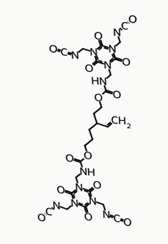 C=CC(CCCOC(=O)NCn1c(=O)n(CN=C=O)c(=O)n(CN=C=O)c1=O)CCOC(=O)NCn1c(=O)n(CN=C=O)c(=O)n(CN=C=O)c1=O